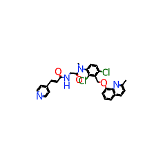 Cc1ccc2cccc(OCc3c(Cl)ccc(N(C)C(=O)CNC(=O)C=Cc4ccncc4)c3Cl)c2n1